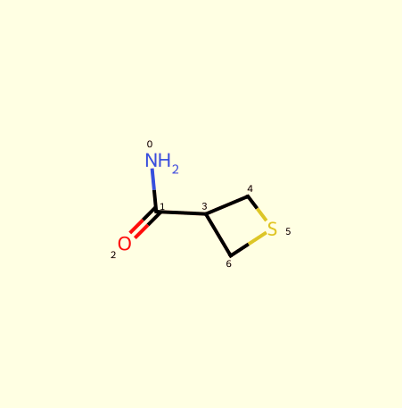 NC(=O)C1CSC1